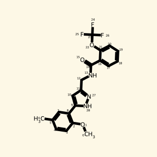 COc1ccc(C)cc1-c1cc(CNC(=O)c2ccccc2OC(F)(F)F)n[nH]1